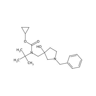 CC(C)(C)N(CC1(O)CCN(Cc2ccccc2)C1)C(=O)OC1CC1